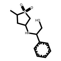 CC1CC(NC(CO)c2ccccc2)CS1(=O)=O